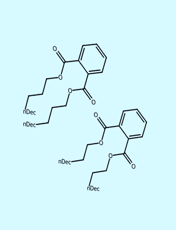 CCCCCCCCCCCCCOC(=O)c1ccccc1C(=O)OCCCCCCCCCCCCC.CCCCCCCCCCCCOC(=O)c1ccccc1C(=O)OCCCCCCCCCCCC